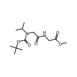 COC(=O)CNC(=O)CN(C(=O)OC(C)(C)C)C(C)C